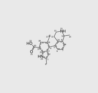 Cc1cc2c(-c3cccc4c3CCNC4C)c(F)cc(C(=O)O)c2[nH]1